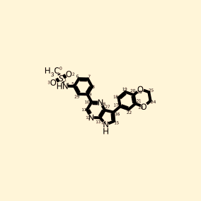 CS(=O)(=O)Nc1cccc(-c2cnc3[nH]cc(-c4ccc5c(c4)OCCO5)c3n2)c1